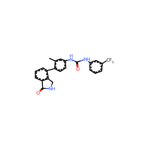 Cc1cc(NC(=O)Nc2cccc(C(F)(F)F)c2)ccc1-c1cccc2c1CNC2=O